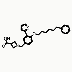 O=C(O)C1CN(Cc2ccc(OCCCCCCc3ccccc3)c(-c3cccs3)c2)C1